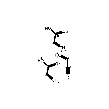 C=CC#N.C=CC(=O)O.C=CC(=O)O